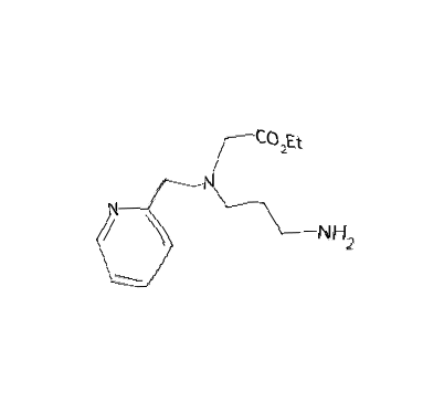 CCOC(=O)CN(CCCN)Cc1ccccn1